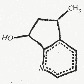 CC1CC(O)c2ncccc21